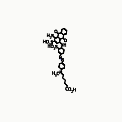 CN(CCCCCC(=O)O)c1ccc(/N=N/c2ccc(Nc3cc(S(=O)(=O)O)c(N)c4c3C(=O)c3ccccc3C4=O)c(S(=O)(=O)O)c2)cc1